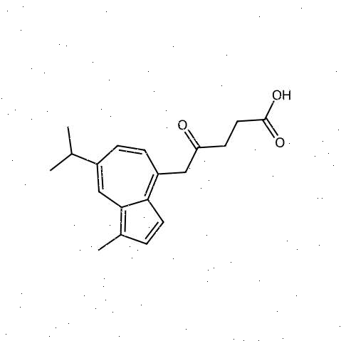 Cc1ccc2c(CC(=O)CCC(=O)O)ccc(C(C)C)cc1-2